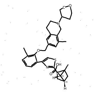 Cc1cc(COc2c(C)cccc2-c2csc(N3C[C@H]4CC3(C)[C@H]4C(=O)O)n2)cc2c1CN(C1CCOCC1)CC2